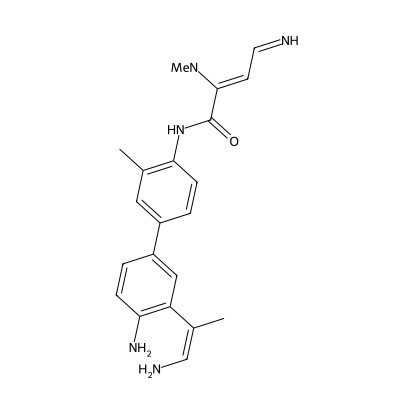 CN/C(=C\C=N)C(=O)Nc1ccc(-c2ccc(N)c(/C(C)=C\N)c2)cc1C